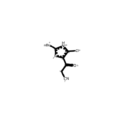 CCCCc1nc(C(=O)CC#N)c(Cl)[nH]1